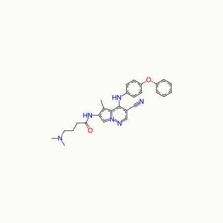 Cc1c(NC(=O)CCCN(C)C)cn2ncc(C#N)c(Nc3ccc(Oc4ccccc4)cc3)c12